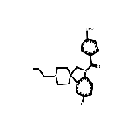 C=CCN1CCC2(CC1)CN(C(=O)c1ccc(OC)cc1)c1ccc(F)cc12